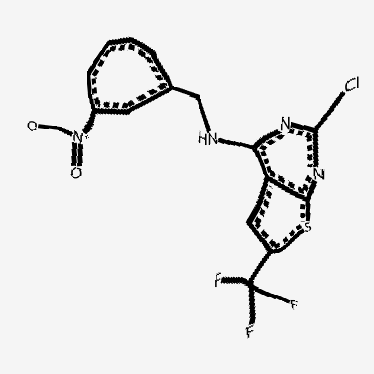 O=[N+]([O-])c1cccc(CNc2nc(Cl)nc3sc(C(F)(F)F)cc23)c1